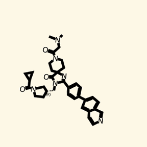 CN(C)CC(=O)N1CCC2(CC1)N=C(c1ccc(-c3ccc4cnccc4c3)cc1)N(C[C@@H]1CCN(C(=O)C3CC3)C1)C2=O